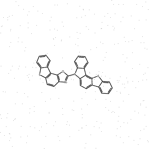 c1ccc2c(c1)sc1c2ccc2c1c1ccccc1n2-c1nc2ccc3sc4ccccc4c3c2o1